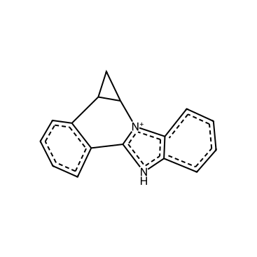 c1ccc2c(c1)-c1[nH]c3ccccc3[n+]1C1CC21